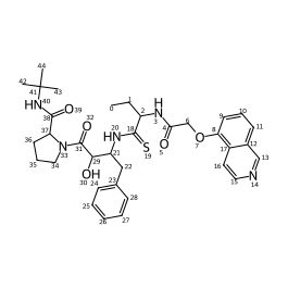 CCC(NC(=O)COc1cccc2cnccc12)C(=S)NC(Cc1ccccc1)C(O)C(=O)N1CCCC1C(=O)NC(C)(C)C